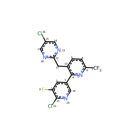 Fc1cc(-c2nc(C(F)(F)F)ccc2Cc2ncc(Cl)cn2)cnc1Cl